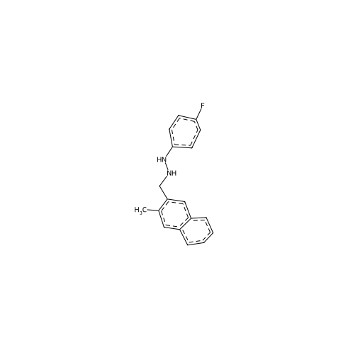 Cc1cc2ccccc2cc1CNNc1ccc(F)cc1